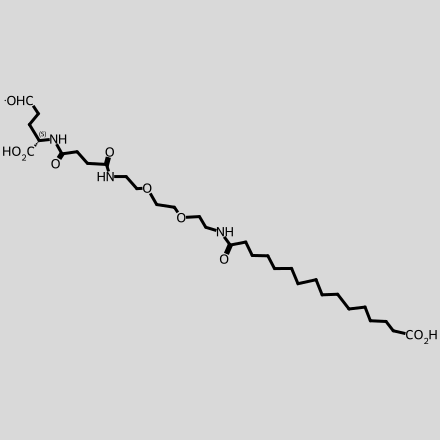 O=[C]CC[C@H](NC(=O)CCC(=O)NCCOCCOCCNC(=O)CCCCCCCCCCCCCCC(=O)O)C(=O)O